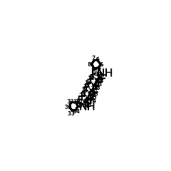 FC(F)(Nc1ccccc1)C(F)(F)C(F)(F)C(F)(F)C(F)(F)C(F)(F)C(F)(F)Nc1ccccc1